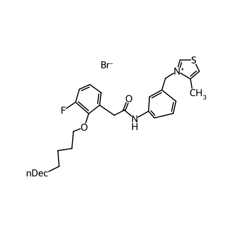 CCCCCCCCCCCCCCOc1c(F)cccc1CC(=O)Nc1cccc(C[n+]2cscc2C)c1.[Br-]